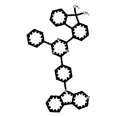 CC1(C)c2ccccc2-c2c(-c3nc(-c4ccccc4)nc(-c4ccc(-n5c6ccccc6c6ccncc65)cc4)n3)cccc21